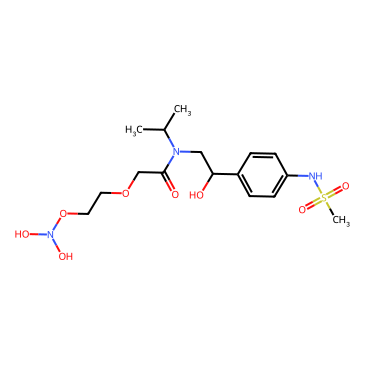 CC(C)N(CC(O)c1ccc(NS(C)(=O)=O)cc1)C(=O)COCCON(O)O